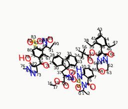 CC(C)N1C(=O)c2ccccc2NS1(=O)=O.CCOC(=O)C1=NOC(c2ccccc2)(c2ccccc2)C1.CCc1cc(C)cc(CC)c1-c1c(OC(=O)C(C)(C)C)n2n(c1=O)CCOCC2.Cc1c(C(=O)c2cnn(C)c2O)ccc(S(C)(=O)=O)c1C1=NOCC1